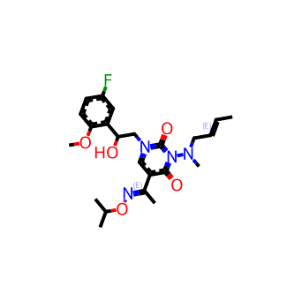 C/C=C/CN(C)n1c(=O)c(/C(C)=N/OC(C)C)cn(CC(O)c2cc(F)ccc2OC)c1=O